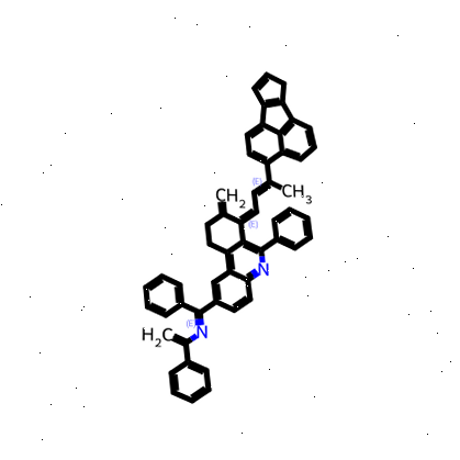 C=C1CCc2c(c(-c3ccccc3)nc3ccc(/C(=N/C(=C)c4ccccc4)c4ccccc4)cc23)/C1=C/C=C(\C)c1ccc2c3c(cccc13)C1=C2C=CC1